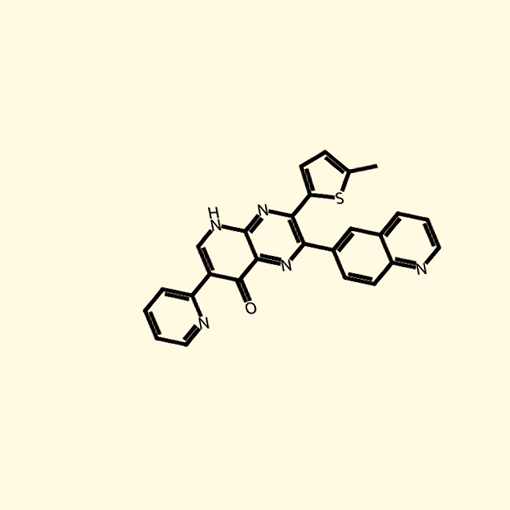 Cc1ccc(-c2nc3[nH]cc(-c4ccccn4)c(=O)c3nc2-c2ccc3ncccc3c2)s1